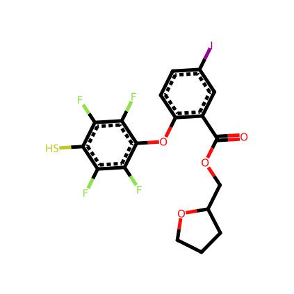 O=C(OCC1CCCO1)c1cc(I)ccc1Oc1c(F)c(F)c(S)c(F)c1F